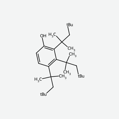 CC(C)(C)CC(C)(C)c1ccc(O)c(C(C)(C)CC(C)(C)C)c1C(C)(C)CC(C)(C)C